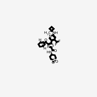 CC1(Nc2cc(C(F)F)c(-c3sc(C(=O)NC4CCS(=O)(=O)CC4)nc3C(=O)N3[C@H]4CC[C@@H]3CC4)cn2)CCC1